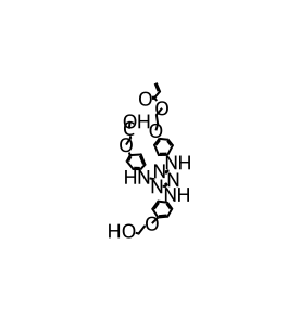 C=CC(=O)OCCOc1ccc(Nc2nc(Nc3ccc(OCCO)cc3)nc(Nc3ccc(OCCO)cc3)n2)cc1